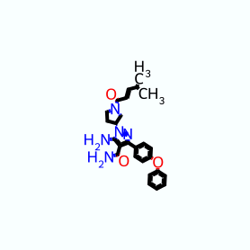 CC(C)C=CC(=O)N1CC[C@@H](n2nc(-c3ccc(Oc4ccccc4)cc3)c(C(N)=O)c2N)C1